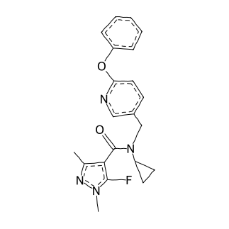 Cc1nn(C)c(F)c1C(=O)N(Cc1ccc(Oc2ccccc2)nc1)C1CC1